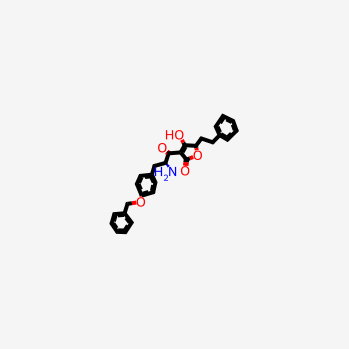 N[C@@H](Cc1ccc(OCc2ccccc2)cc1)C(=O)C1=C(O)C(CCc2ccccc2)OC1=O